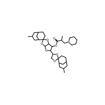 CC1CC2CCC3(OCC(C4OC5OC6(CCC7CC(C)CC6C7)OC5C4OC(=O)C(C)CN4CCCCC4)O3)C(C1)C2